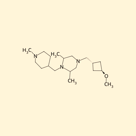 CO[C@H]1C[C@H](CN2CC(C)N(CC3CCN(C)CC3)C(C)C2)C1